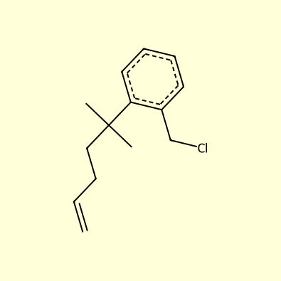 C=CCCC(C)(C)c1ccccc1CCl